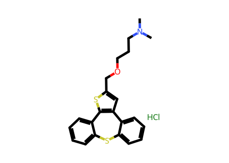 CN(C)CCCOCc1cc2c(s1)-c1ccccc1Sc1ccccc1-2.Cl